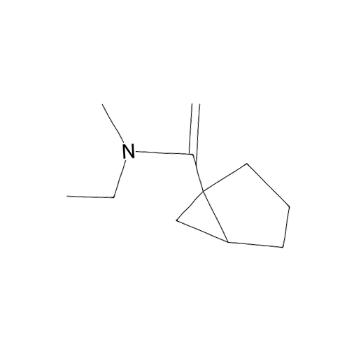 C=C(N(C)CC)C12CCCC1C2